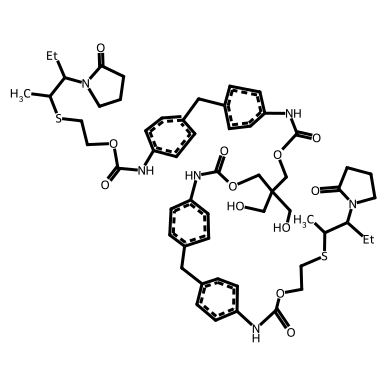 CCC(C(C)SCCOC(=O)Nc1ccc(Cc2ccc(NC(=O)OCC(CO)(CO)COC(=O)Nc3ccc(Cc4ccc(NC(=O)OCCSC(C)C(CC)N5CCCC5=O)cc4)cc3)cc2)cc1)N1CCCC1=O